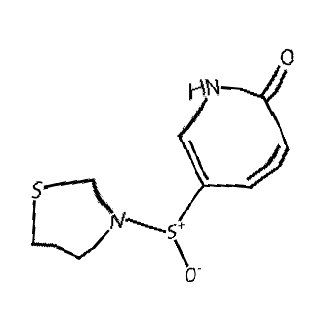 O=c1ccc([S+]([O-])N2CCSC2)c[nH]1